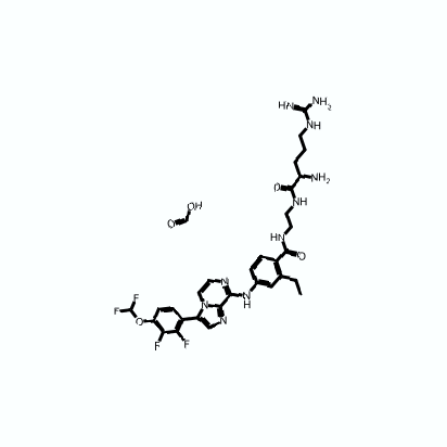 CCc1cc(Nc2nccn3c(-c4ccc(OC(F)F)c(F)c4F)cnc23)ccc1C(=O)NCCNC(=O)C(N)CCCNC(=N)N.O=CO